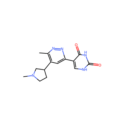 Cc1nnc(-c2c[nH]c(=O)[nH]c2=O)cc1C1CCN(C)C1